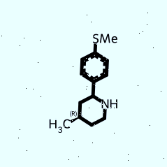 CSc1ccc(C2C[C@H](C)CCN2)cc1